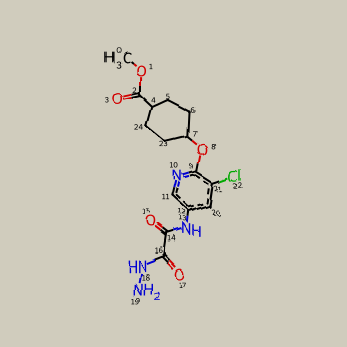 COC(=O)C1CCC(Oc2ncc(NC(=O)C(=O)NN)cc2Cl)CC1